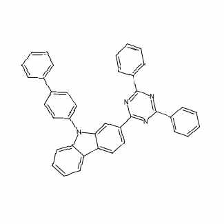 c1ccc(-c2ccc(-n3c4ccccc4c4ccc(-c5nc(-c6ccccc6)nc(-c6ccccc6)n5)cc43)cc2)cc1